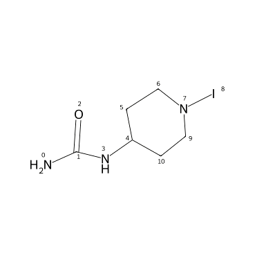 NC(=O)NC1CCN(I)CC1